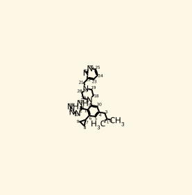 CC(C)Cc1cc(C2CC2)c(C(=N)/N=N\N)c(N2CCN(Cc3cccnn3)CC2)c1